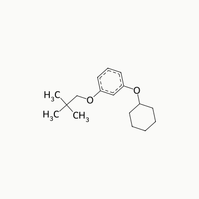 CC(C)(C)COc1cccc(OC2CCCCC2)c1